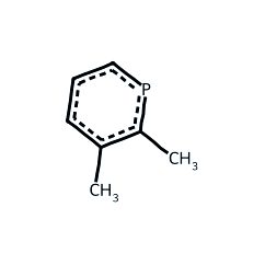 Cc1cccpc1C